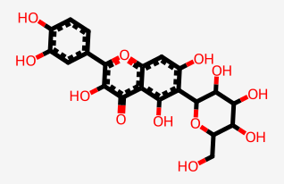 O=c1c(O)c(-c2ccc(O)c(O)c2)oc2cc(O)c(C3OC(CO)C(O)C(O)C3O)c(O)c12